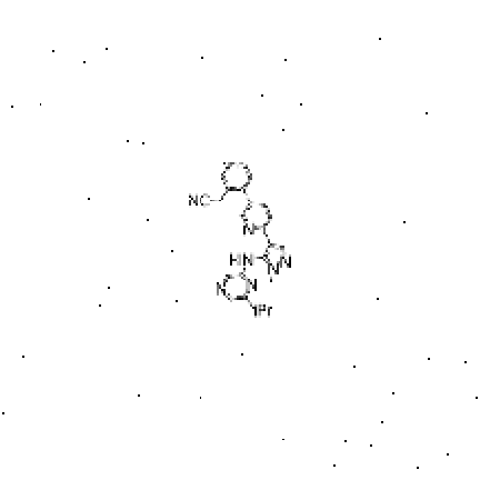 CC(C)c1cncc(Nc2c(-c3ccc(-c4cc[c]cc4CC#N)cn3)cnn2C)n1